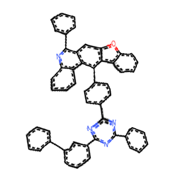 c1ccc(-c2cccc(-c3nc(-c4ccccc4)nc(-c4ccc(-c5c6c(cc7c(-c8ccccc8)nc8ccccc8c57)oc5ccccc56)cc4)n3)c2)cc1